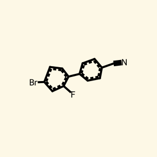 N#Cc1ccc(-c2ccc(Br)cc2F)cc1